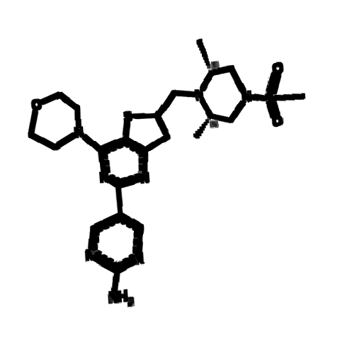 C[C@@H]1CN(S(C)(=O)=O)C[C@H](C)N1CC1Cc2nc(-c3cnc(N)nc3)nc(N3CCOCC3)c2S1